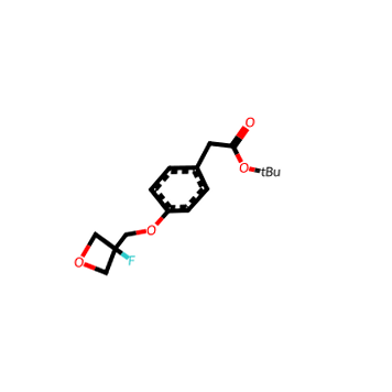 CC(C)(C)OC(=O)Cc1ccc(OCC2(F)COC2)cc1